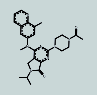 CC(=O)N1CCN(c2nc3c(c(N(C)c4cc(C)c5ncccc5c4)n2)CN(C(C)C)C3=O)CC1